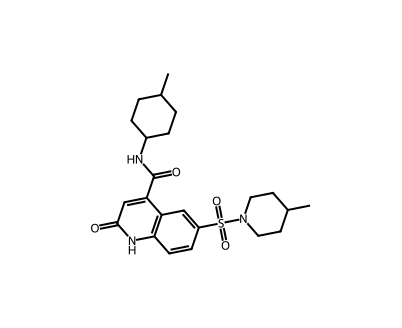 CC1CCC(NC(=O)c2cc(=O)[nH]c3ccc(S(=O)(=O)N4CCC(C)CC4)cc23)CC1